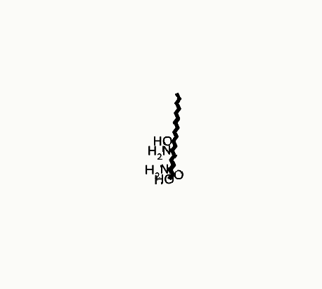 CCCCCCCCCCC(O)CC(N)CCCC(N)C(=O)O